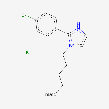 CCCCCCCCCCCCCC[n+]1cc[nH]c1-c1ccc(Cl)cc1.[Br-]